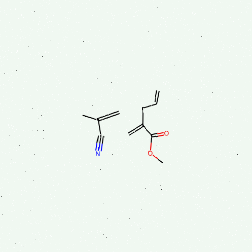 C=C(C)C#N.C=CCC(=C)C(=O)OC